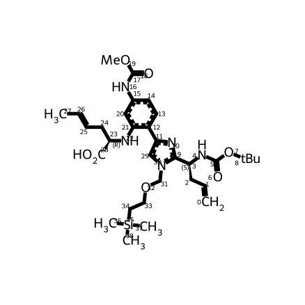 C=CC[C@H](NC(=O)OC(C)(C)C)c1nc(-c2ccc(NC(=O)OC)cc2N[C@H](CC=CC)C(=O)O)cn1COCC[Si](C)(C)C